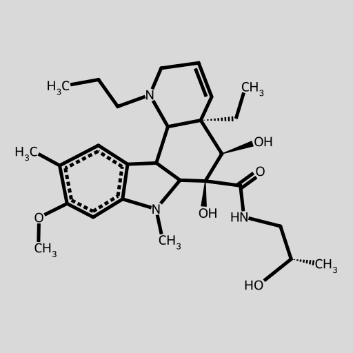 CCCN1CC=C[C@]2(CC)C1C1c3cc(C)c(OC)cc3N(C)C1[C@@](O)(C(=O)NC[C@H](C)O)[C@@H]2O